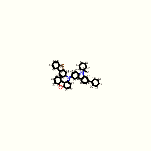 CC1(n2c3c(c4ccc(C5=CCCCC5)cc42)CC(N(C2=CC=CC4OC5C=CCCC5C24)[C@@H]2C=CC4C(C2)SC2C=CC=CC24)C=C3)CCCCC1